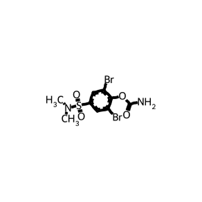 CN(C)S(=O)(=O)c1cc(Br)c(OC(N)=O)c(Br)c1